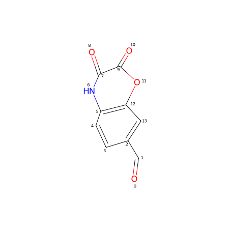 O=Cc1ccc2[nH]c(=O)c(=O)oc2c1